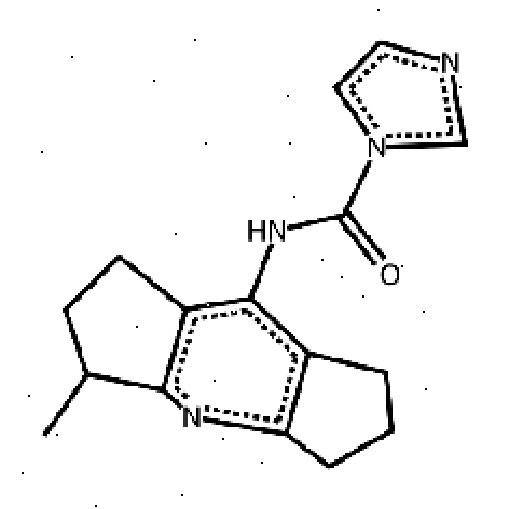 CC1CCc2c1nc1c(c2NC(=O)n2ccnc2)CCC1